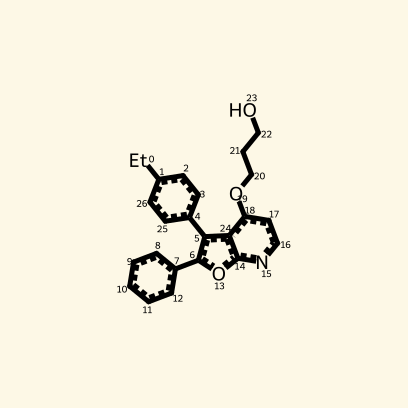 CCc1ccc(-c2c(-c3ccccc3)oc3nccc(OCCCO)c23)cc1